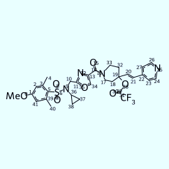 COc1cc(C)c(S(=O)(=O)N(Cc2nc(C(=O)N3CCC(/C=C/c4ccncc4)(OC(=O)C(F)(F)F)CC3)co2)C2CC2)c(C)c1